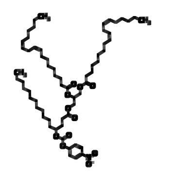 CCCCC/C=C\C/C=C\CCCCCCCC(=O)OCC(COC(=O)CCC(CCCCCCCCCCCC)OC(=O)Oc1ccc([N+](=O)[O-])cc1)OC(=O)CCCCCCC/C=C\C/C=C\CCCCC